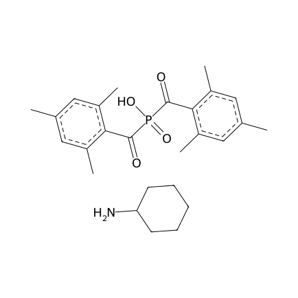 Cc1cc(C)c(C(=O)P(=O)(O)C(=O)c2c(C)cc(C)cc2C)c(C)c1.NC1CCCCC1